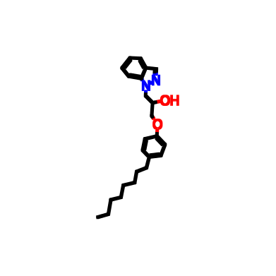 CCCCCCCCc1ccc(OCC(O)Cn2ncc3ccccc32)cc1